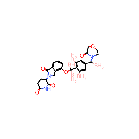 Bc1cc(C(B)N2CCOCC2=O)cc(B)c1C(B)(B)Oc1cccc2c1CN(C1CCC(=O)NC1=O)C2=O